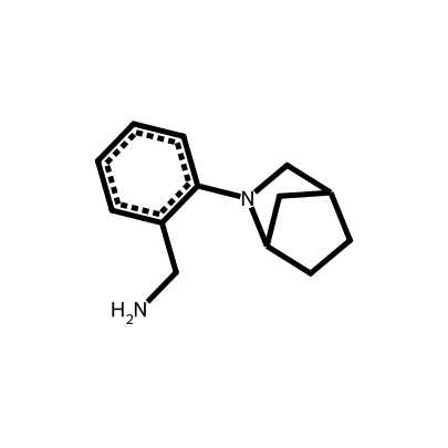 NCc1ccccc1N1CC2CCC1C2